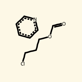 O=COCCCCl.c1ccncc1